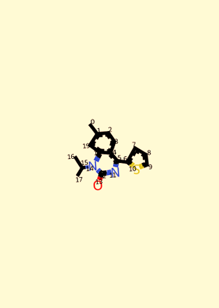 Cc1ccc2c(-c3cccs3)nc(=O)n(C(C)C)c2c1